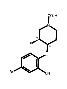 N#Cc1cc(Br)ccc1O[C@@H]1CCN(C(=O)O)C[C@@H]1F